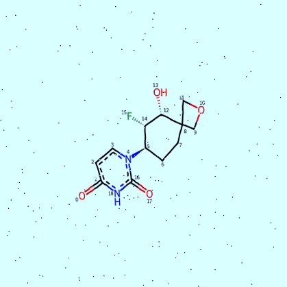 O=c1ccn([C@@H]2CCC3(COC3)[C@@H](O)[C@H]2F)c(=O)[nH]1